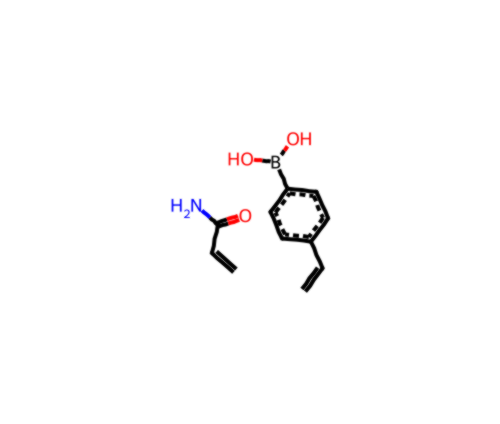 C=CC(N)=O.C=Cc1ccc(B(O)O)cc1